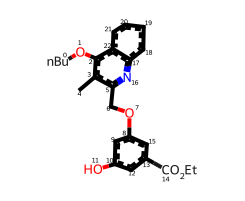 CCCCOc1c(C)c(COc2cc(O)cc(C(=O)OCC)c2)nc2ccccc12